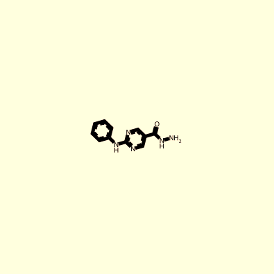 NNC(=O)c1cnc(Nc2ccccc2)nc1